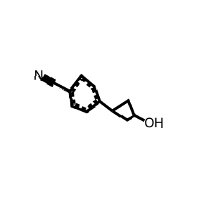 N#Cc1ccc(C2CC(O)C2)cc1